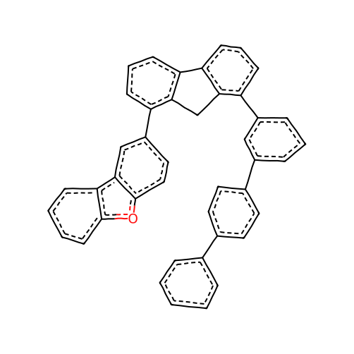 c1ccc(-c2ccc(-c3cccc(-c4cccc5c4Cc4c(-c6ccc7oc8ccccc8c7c6)cccc4-5)c3)cc2)cc1